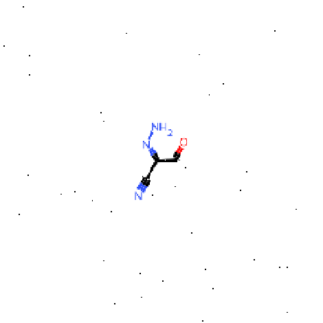 N#CC([C]=O)=NN